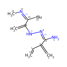 C=CC(=C)/C(N)=N\NC(=C)/C(=N\C)C(C)(C)C